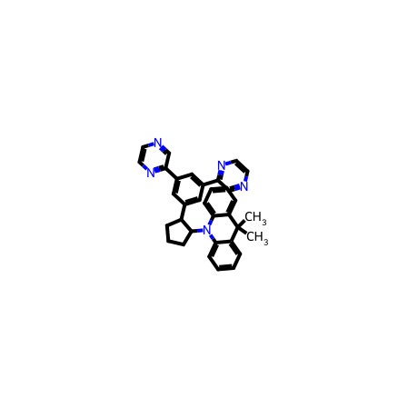 CC1(C)c2ccccc2N(C2CCCC2c2cc(-c3cnccn3)cc(-c3cnccn3)c2)c2ccccc21